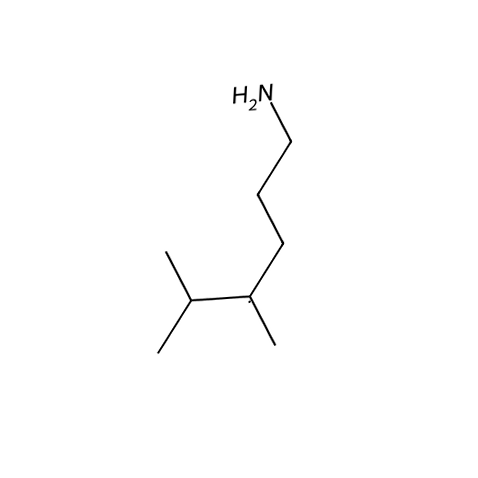 C[C](CCCN)C(C)C